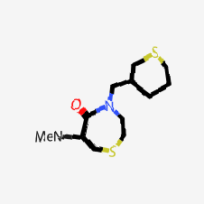 CNC1CSCCN(CC2CCCSC2)C1=O